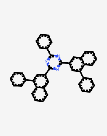 c1ccc(-c2nc(-c3cc(-c4ccccc4)c4ccccc4c3)nc(-c3cc(-c4ccccc4)c4ccccc4c3)n2)cc1